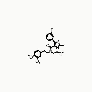 COCCN(CCc1ccc(OC)c(OC)c1)C(=O)c1nc(C)sc1-c1cccc(F)c1